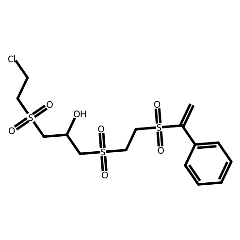 C=C(c1ccccc1)S(=O)(=O)CCS(=O)(=O)CC(O)CS(=O)(=O)CCCl